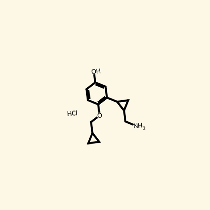 Cl.NCC1CC1c1cc(O)ccc1OCC1CC1